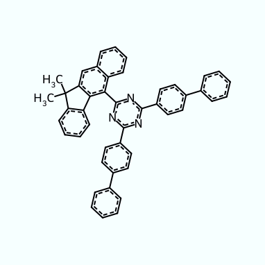 CC1(C)c2ccccc2-c2c1cc1ccccc1c2-c1nc(-c2ccc(-c3ccccc3)cc2)nc(-c2ccc(-c3ccccc3)cc2)n1